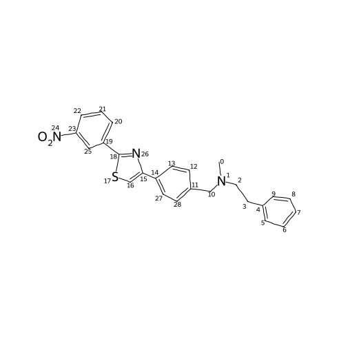 CN(CCc1ccccc1)Cc1ccc(-c2csc(-c3cccc([N+](=O)[O-])c3)n2)cc1